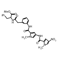 COC(=O)C(CC(C)C)NC(=O)Cc1cccc(NC(=O)c2cc(NC(=O)c3cc([N+](=O)[O-])cn3C)cn2C)c1